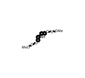 COCCOCCOc1ccc2c(ccc3c4ccc5cc(OCCOCCOC)ccc5c4[nH]c23)c1